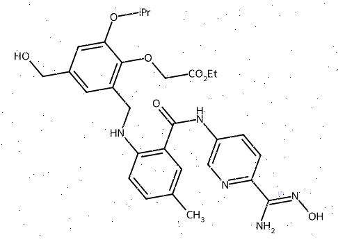 CCOC(=O)COc1c(CNc2ccc(C)cc2C(=O)Nc2ccc(/C(N)=N/O)nc2)cc(CO)cc1OC(C)C